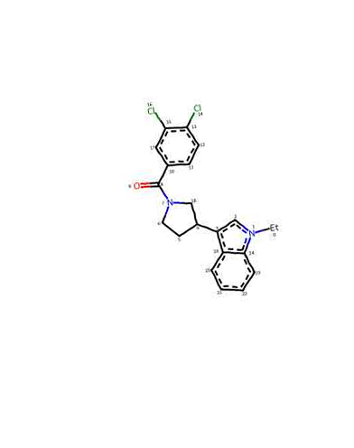 CCn1cc(C2CCN(C(=O)c3ccc(Cl)c(Cl)c3)C2)c2ccccc21